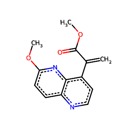 C=C(C(=O)OC)c1ccnc2ccc(OC)nc12